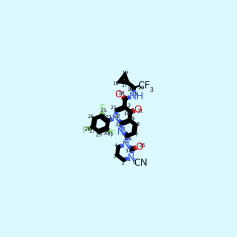 N#CN1CCCN(c2ccc3c(=O)c(C(=O)N[C@@H](C4CC4)C(F)(F)F)cn(-c4c(F)cc(F)cc4F)c3n2)C1=O